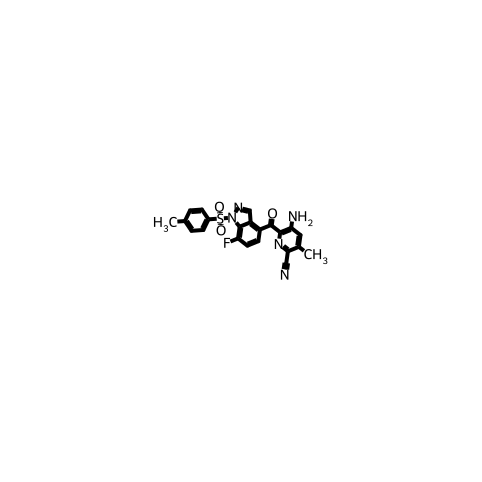 Cc1ccc(S(=O)(=O)n2ncc3c(C(=O)c4nc(C#N)c(C)cc4N)ccc(F)c32)cc1